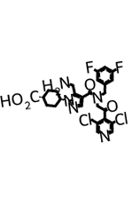 NCc1c(C(=O)N(CC(=O)c2c(Cl)cncc2Cl)Cc2cc(F)cc(F)c2)cnn1[C@H]1CC[C@H](C(=O)O)CC1